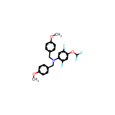 COc1ccc(CN(Cc2ccc(OC)cc2)c2cc(F)c(OC(F)F)cc2F)cc1